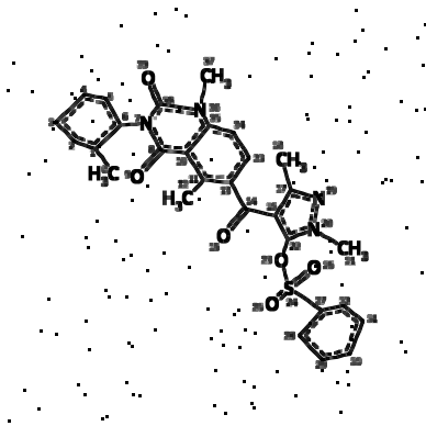 Cc1ccccc1-n1c(=O)c2c(C)c(C(=O)c3c(C)nn(C)c3OS(=O)(=O)c3ccccc3)ccc2n(C)c1=O